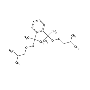 CC(C)COOC(C)(C)c1ccccc1C(C)(C)OOCC(C)C